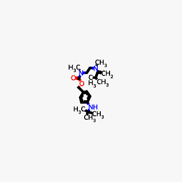 C=C(C(C)C)N(C)CCN(C)C(=O)OCc1ccc(NC(C)(C)C)cc1